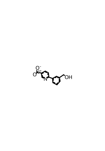 O=[N+]([O-])c1ccc(-c2cccc(CO)c2)nc1